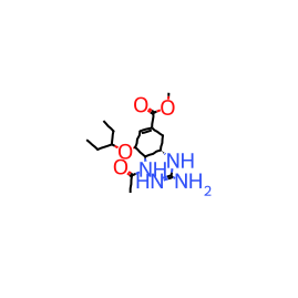 CCC(CC)O[C@@H]1C=C(C(=O)OC)C[C@H](NC(=N)N)[C@H]1NC(C)=O